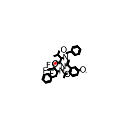 COc1cccc(C2=CN(C(=O)c3ccccc3)C(C(C)C)C(=O)N2N(C(C)=O)C(Cc2ccccc2)C(=O)C(F)(F)F)c1